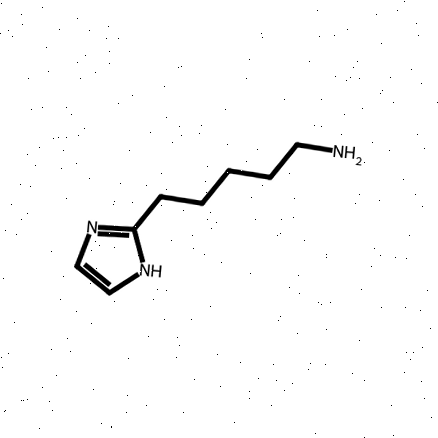 NCCCCCc1ncc[nH]1